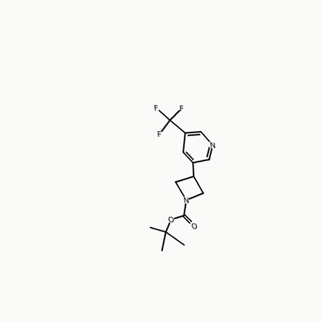 CC(C)(C)OC(=O)N1CC(c2cncc(C(F)(F)F)c2)C1